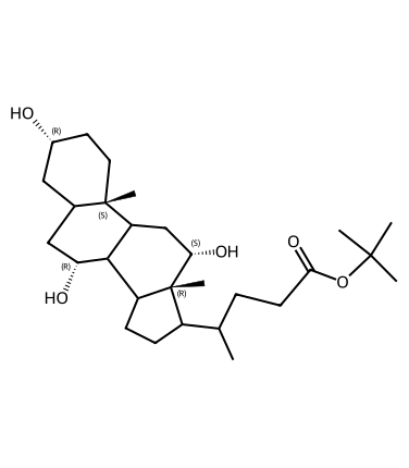 CC(CCC(=O)OC(C)(C)C)C1CCC2C3C(C[C@H](O)[C@]12C)[C@@]1(C)CC[C@@H](O)CC1C[C@H]3O